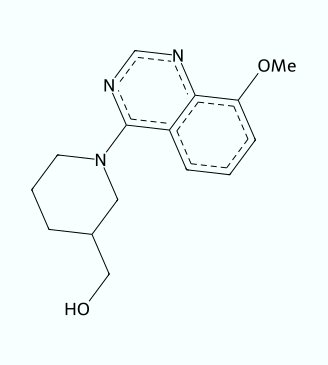 COc1cccc2c(N3CCCC(CO)C3)ncnc12